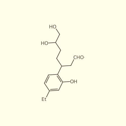 CCc1ccc(C(C[C]=O)CCC(O)CO)c(O)c1